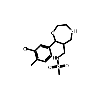 Cc1ccc(C2OCCNCC2CNS(C)(=O)=O)cc1Cl